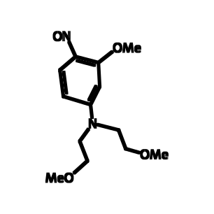 COCCN(CCOC)c1ccc(N=O)c(OC)c1